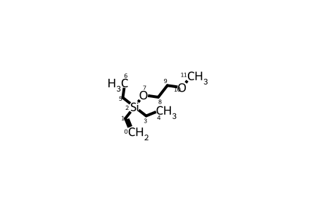 C=C[Si](CC)(CC)OCCOC